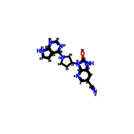 N#Cc1cnc2c(c1)[nH]c(=O)n2C1CCN(c2ncnc3[nH]ccc23)C1